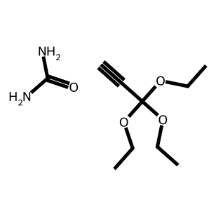 C#CC(OCC)(OCC)OCC.NC(N)=O